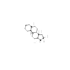 [2H]C1([2H])C[C@H]2C3CC[C@H]4CC(=O)CC[C@]4(C)[C@H]3CC[C@]2(C)[C@@]1([2H])O